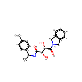 CC(C)COc1ccc([C@H](C)NC(=O)[C@H](O)[C@@H](O)C(=O)N2Cc3ccccc3C2)cc1